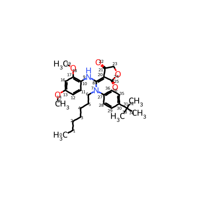 CCCCCCCN(C(Nc1ccc(OC)cc1OC)=C1C(=O)COC1=O)c1ccc(C(C)(C)C)cc1